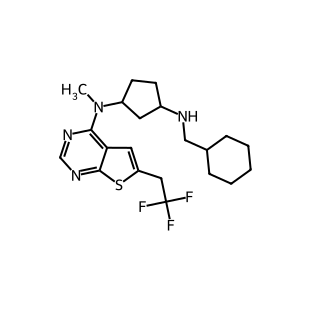 CN(c1ncnc2sc(CC(F)(F)F)cc12)C1CCC(NCC2CCCCC2)C1